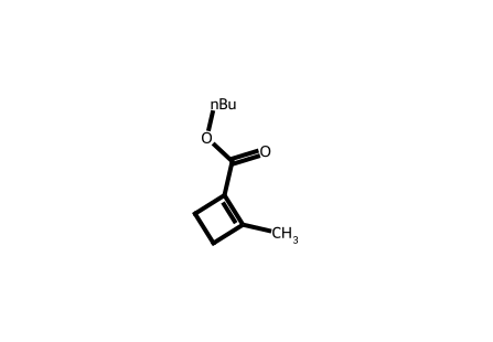 CCCCOC(=O)C1=C(C)CC1